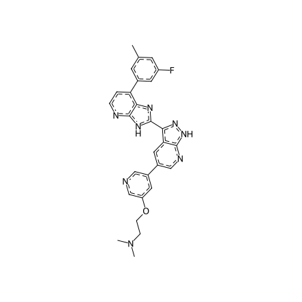 Cc1cc(F)cc(-c2ccnc3[nH]c(-c4n[nH]c5ncc(-c6cncc(OCCN(C)C)c6)cc45)nc23)c1